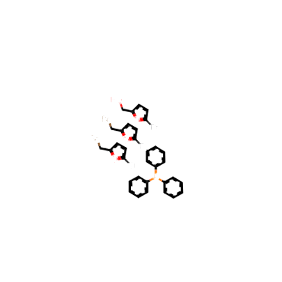 CCc1ccc(CBr)o1.CCc1ccc(CBr)o1.CCc1ccc(CO)o1.c1ccc(P(c2ccccc2)c2ccccc2)cc1